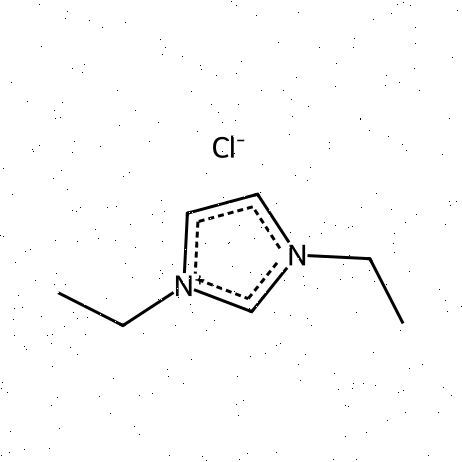 CCn1cc[n+](CC)c1.[Cl-]